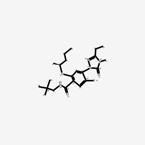 CCC[C@H](C)Oc1cc(-n2nc(CC)n(C)c2=O)c(F)cc1C(=O)NCC(C)(C)C